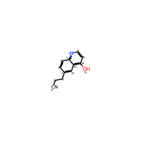 N#CCCc1ccc2nccc(O)c2c1